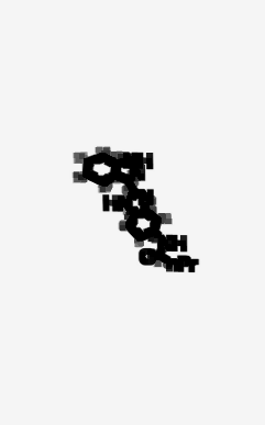 CCCC(=O)Nc1ccc2[nH]c(-c3n[nH]c4ccccc34)nc2c1